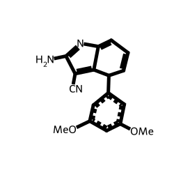 COc1cc(OC)cc(C2C=CC=C3N=C(N)C(C#N)=C32)c1